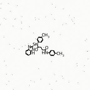 Cc1ccc(NC(=O)CCC(=O)N(Sc2nc3ccccc3[nH]2)c2ccc(C)cc2)cc1